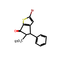 CCOC(=O)C1C(=O)c2sc(Br)cc2C1c1ccccc1